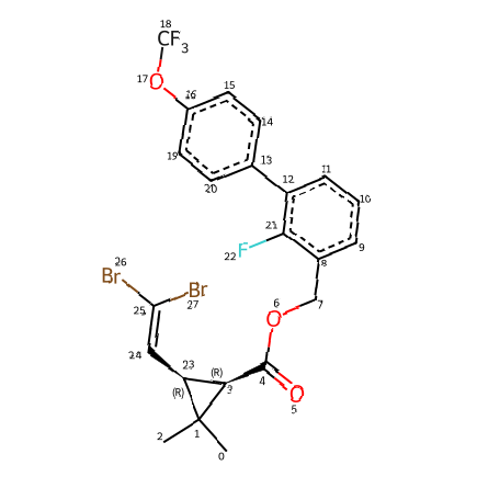 CC1(C)[C@H](C(=O)OCc2cccc(-c3ccc(OC(F)(F)F)cc3)c2F)[C@@H]1C=C(Br)Br